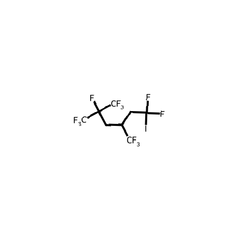 FC(F)(I)CC(CC(F)(C(F)(F)F)C(F)(F)F)C(F)(F)F